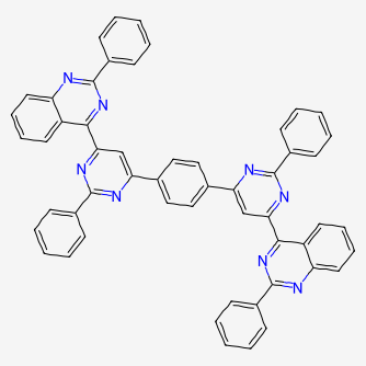 c1ccc(-c2nc(-c3ccc(-c4cc(-c5nc(-c6ccccc6)nc6ccccc56)nc(-c5ccccc5)n4)cc3)cc(-c3nc(-c4ccccc4)nc4ccccc34)n2)cc1